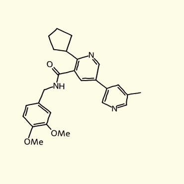 COc1ccc(CNC(=O)c2cc(-c3cncc(C)c3)cnc2C2CCCC2)cc1OC